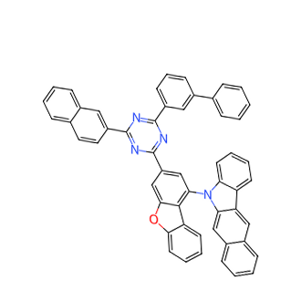 c1ccc(-c2cccc(-c3nc(-c4ccc5ccccc5c4)nc(-c4cc(-n5c6ccccc6c6cc7ccccc7cc65)c5c(c4)oc4ccccc45)n3)c2)cc1